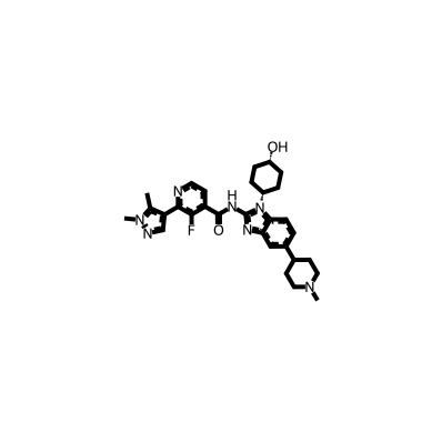 Cc1c(-c2nccc(C(=O)Nc3nc4cc(C5CCN(C)CC5)ccc4n3[C@H]3CC[C@@H](O)CC3)c2F)cnn1C